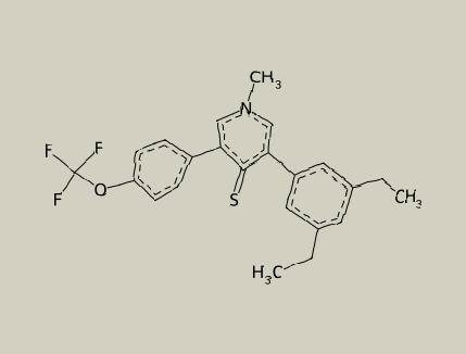 CCc1cc(CC)cc(-c2cn(C)cc(-c3ccc(OC(F)(F)F)cc3)c2=S)c1